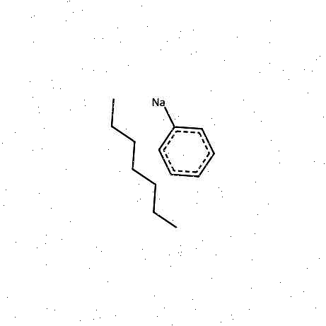 CCCCCCC.[Na][c]1ccccc1